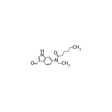 CCCCCC(=O)N(CC)c1ccc2c(C=O)c[nH]c2c1